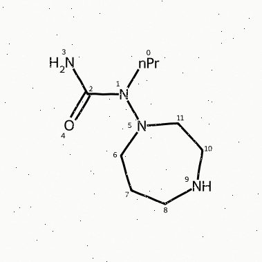 CCCN(C(N)=O)N1CCCNCC1